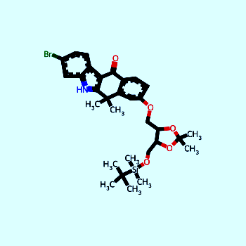 CC1(C)OC(COc2ccc3c(c2)C(C)(C)c2[nH]c4cc(Br)ccc4c2C3=O)C(CO[Si](C)(C)C(C)(C)C)O1